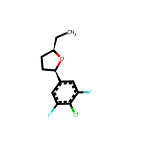 CC[C@@H]1CC[C@H](c2cc(F)c(Cl)c(F)c2)O1